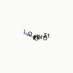 C=C/C=C\C=C\C(=O)CCCP1(=C)CCC(C)(C)C(C(=C)NCCC(=O)CC)O1